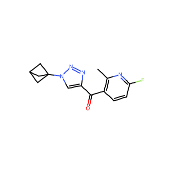 Cc1nc(F)ccc1C(=O)c1cn(C23CC(C2)C3)nn1